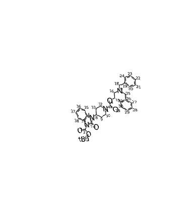 CC(C)(C)OC(=O)n1c(=O)n(C2CCN(C(=O)OCCN(Cc3ccccc3)Cc3ccccc3)CC2)c2ccccc21